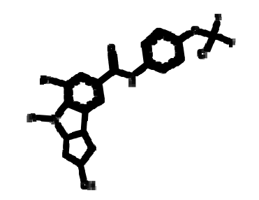 CC(C)N1c2c(Br)cc(C(=O)Nc3ccc(OC(F)(F)Cl)cc3)cc2C2CC(O)CC21